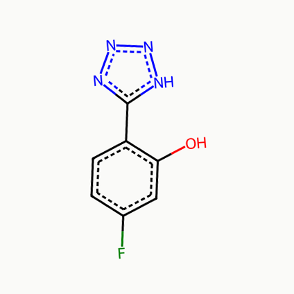 Oc1cc(F)ccc1-c1nnn[nH]1